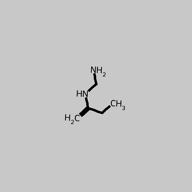 C=C(CC)NCN